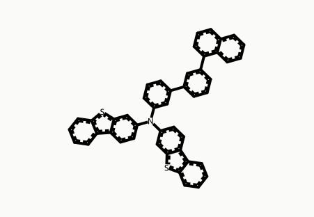 c1cc(-c2cccc(N(c3ccc4c(c3)sc3ccccc34)c3ccc4c(c3)sc3ccccc34)c2)cc(-c2cccc3ccccc23)c1